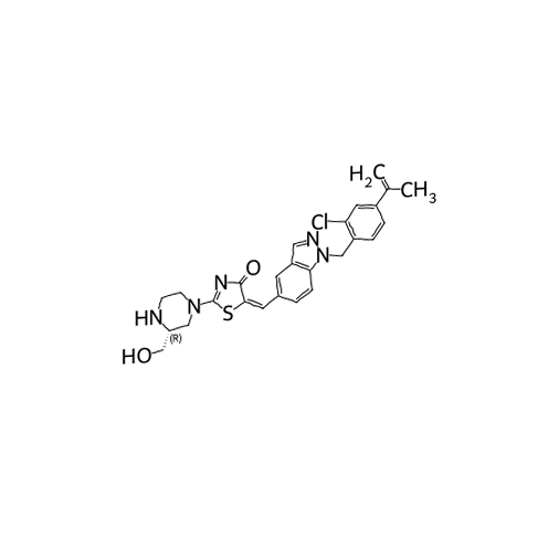 C=C(C)c1ccc(Cn2ncc3cc(C=C4SC(N5CCN[C@@H](CO)C5)=NC4=O)ccc32)c(Cl)c1